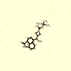 CC(C)(C)OC(=O)N1CC(C(O)c2ccc3c4c(cccc24)NC3=O)C1